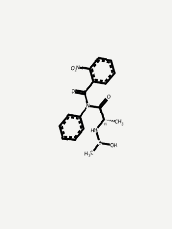 CB(O)N[C@@H](C)C(=O)N(C(=O)c1ccccc1[N+](=O)[O-])c1ccccc1